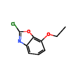 CCOc1cccc2nc(Cl)oc12